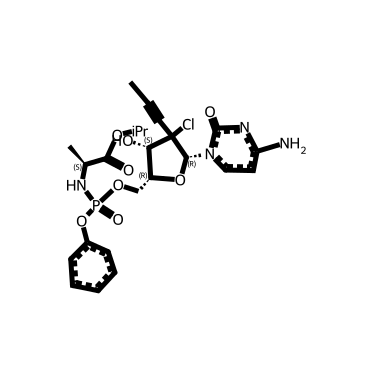 CC#CC1(Cl)[C@@H](O)[C@@H](COP(=O)(N[C@@H](C)C(=O)OC(C)C)Oc2ccccc2)O[C@H]1n1ccc(N)nc1=O